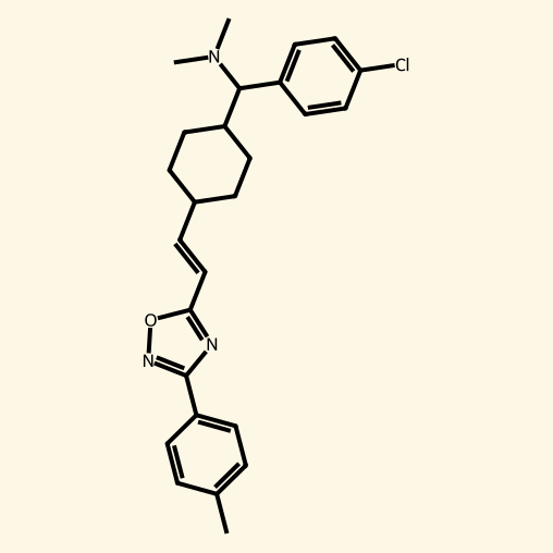 Cc1ccc(-c2noc(/C=C/C3CCC(C(c4ccc(Cl)cc4)N(C)C)CC3)n2)cc1